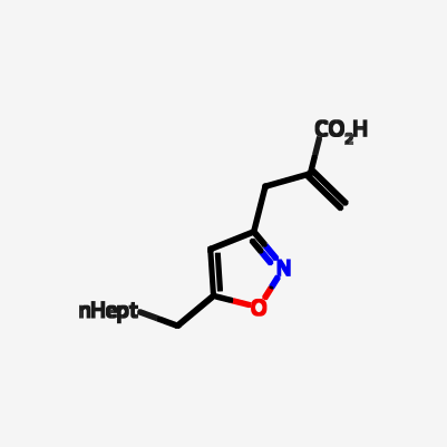 C=C(Cc1cc(CCCCCCCC)on1)C(=O)O